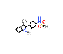 CCn1c(-c2ccc(NS(C)(=O)=O)cc2)c(C#N)c2ccccc21